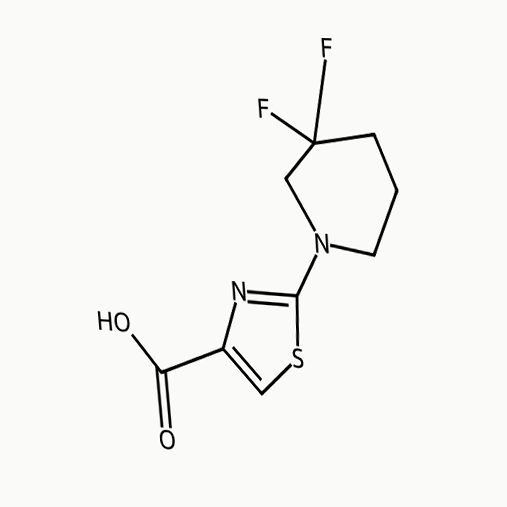 O=C(O)c1csc(N2CCCC(F)(F)C2)n1